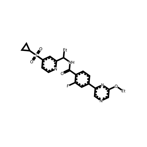 CCOc1cncc(-c2ccc(C(=O)NC(CC)c3cc(S(=O)(=O)C4CC4)ccn3)c(F)c2)n1